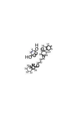 O=C(O)/C=C\C(=O)O.c1ccc2c(c1)COC21CCN(CCCCOc2cc3n(n2)CCCC3)CC1